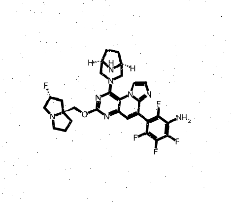 Nc1c(F)c(F)c(F)c(-c2cc3nc(OC[C@@]45CCCN4C[C@H](F)C5)nc(N4C[C@H]5CC[C@@H](C4)N5)c3n3ccnc23)c1F